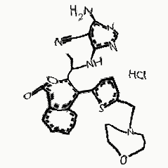 CC(Nc1ncnc(N)c1C#N)c1oc(=O)c2ccccc2c1-c1ccc(CN2CCOCC2)s1.Cl